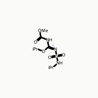 COC(=O)N/C(=N/S(=O)(=O)NC(C)C)OC(C)C